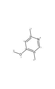 COc1cc(C)ncc1C